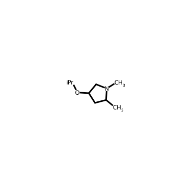 CC(C)OC1CC(C)N(C)C1